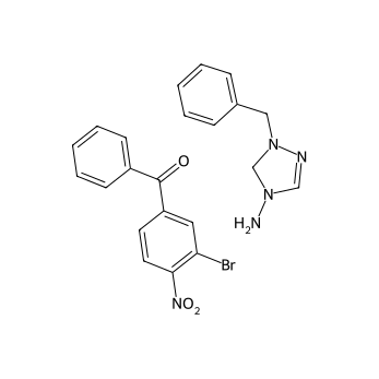 NN1C=NN(Cc2ccccc2)C1.O=C(c1ccccc1)c1ccc([N+](=O)[O-])c(Br)c1